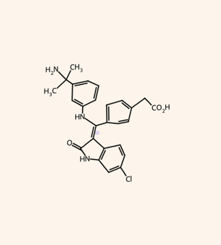 CC(C)(N)c1cccc(N/C(=C2\C(=O)Nc3cc(Cl)ccc32)c2ccc(CC(=O)O)cc2)c1